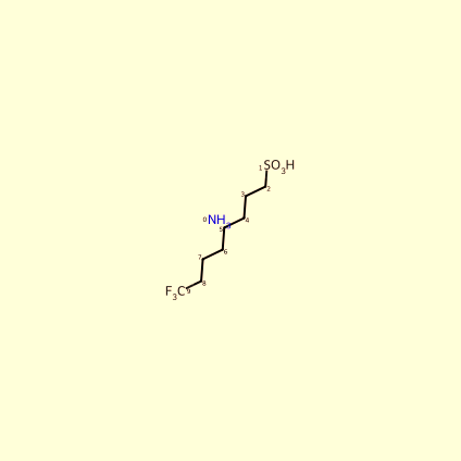 N.O=S(=O)(O)CCCCCCCC(F)(F)F